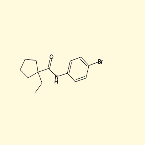 CCC1(C(=O)Nc2ccc(Br)cc2)CCCC1